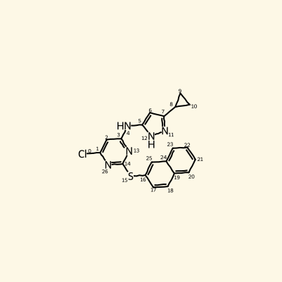 Clc1cc(Nc2cc(C3CC3)n[nH]2)nc(Sc2ccc3ccccc3c2)n1